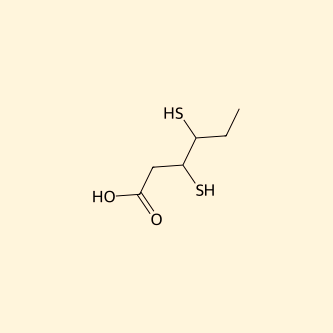 CCC(S)C(S)CC(=O)O